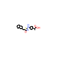 CC(C(=O)O)c1ccc(NC2=NC(=O)/C(=C/c3ccc4ccccc4c3)S2)cc1